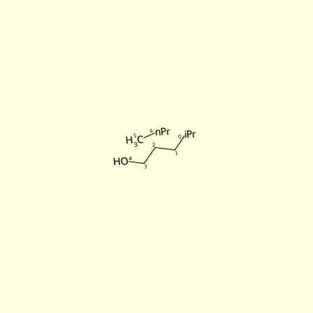 CC(C)CCCO.CCCC